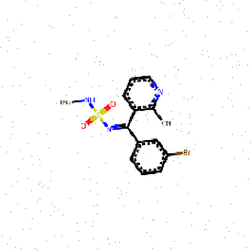 CC(C)(C)NS(=O)(=O)N=C(c1cccc(Br)c1)c1cccnc1C#N